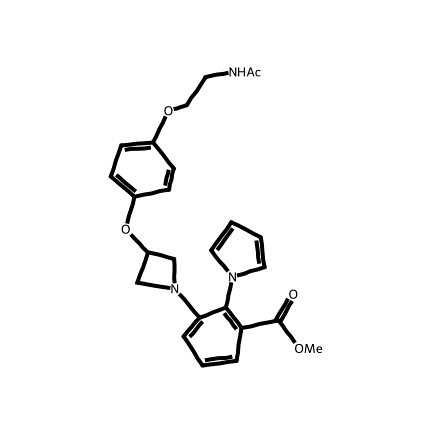 COC(=O)c1cccc(N2CC(Oc3ccc(OCCNC(C)=O)cc3)C2)c1-n1cccc1